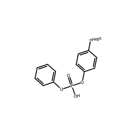 CCCCCCCc1ccc(OP(=O)(O)Oc2ccccc2)cc1